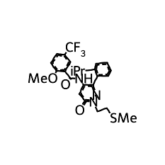 COc1ccc(C(F)(F)F)cc1C(=O)Nc1cc(=O)n(CCSC)nc1-c1ccccc1C(C)C